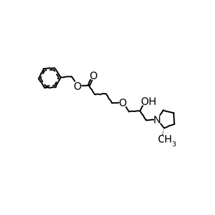 C[C@H]1CCCN1CC(O)COCCCC(=O)OCc1ccccc1